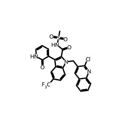 CS(=O)(=O)NC(=O)c1c(-c2ccc[nH]c2=O)c2cc(C(F)(F)F)ccc2n1Cc1cc2ccccc2nc1Cl